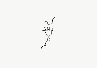 CC=CC(=O)N1C(C)(C)CC(OC=CCC)CC1(C)C